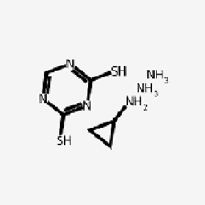 N.N.NC1CC1.Sc1ncnc(S)n1